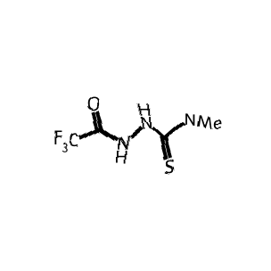 CNC(=S)NNC(=O)C(F)(F)F